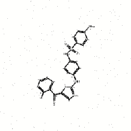 COc1ccc(S(=O)(=O)Nc2ccc(Nc3ncc(C(=O)c4ccccc4C)s3)cc2)cc1